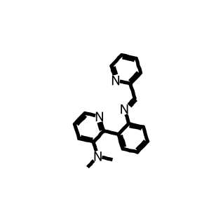 CN(C)c1cccnc1-c1ccccc1/N=C/c1ccccn1